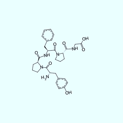 N[C@@H](Cc1ccc(O)cc1)C(=O)N1CCC[C@H]1C(=O)N[C@@H](Cc1ccccc1)C(=O)N1CCC[C@H]1C(=O)NCC(=O)O